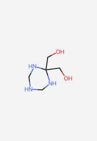 OCC1(CO)NCNCN1